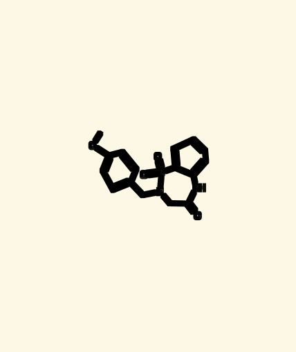 COc1ccc(CN2CC(=O)Nc3ccccc3S2(=O)=O)cc1